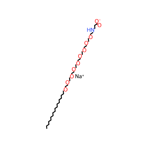 CCCCCCCCCCCCCCCCCCOCCOCCOCCOCCOCCOCCOCCOCCOCCNCCC(=O)[O-].[Na+]